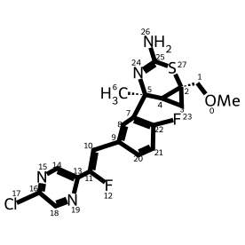 COC[C@]12CC1[C@@](C)(c1cc(/C=C(\F)c3cnc(Cl)cn3)ccc1F)N=C(N)S2